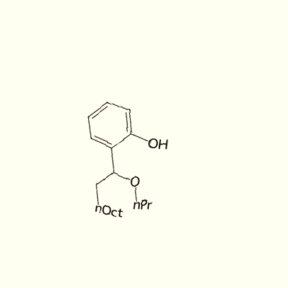 CCCCCCCCCC(OCCC)c1ccccc1O